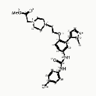 COC(=O)CN1CCN(CCOc2ccc(NC(=O)Nc3ccc(Cl)cc3)cc2-c2ccnn2C)CC1